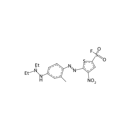 CCN(CC)Nc1ccc(N=Nc2sc(S(=O)(=O)F)cc2[N+](=O)[O-])c(C)c1